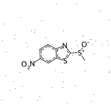 C[S+]([O-])c1nc2ccc([N+](=O)[O-])cc2s1